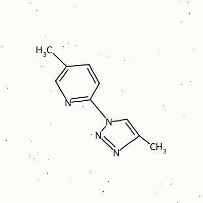 Cc1ccc(-n2cc(C)nn2)nc1